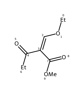 CCOC=C(C(=O)CC)C(=O)OC